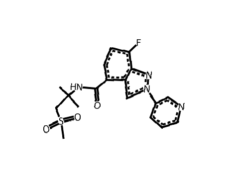 CC(C)(CS(C)(=O)=O)NC(=O)c1ccc(F)c2nn(-c3cccnc3)cc12